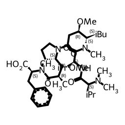 CC[C@H](C)[C@@H]([C@@H](CC(=O)N1CCC[C@H]1[C@H](OC)[C@@H](C)C(=O)N(C)[C@@H](Cc1ccccc1)C(=O)O)OC)N(C)C(=O)[C@@H](NC(=O)[C@H](C(C)C)N(C)C)C(C)C